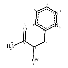 CCCC(Cc1cccnn1)C(N)=O